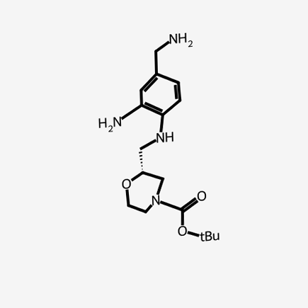 CC(C)(C)OC(=O)N1CCO[C@H](CNc2ccc(CN)cc2N)C1